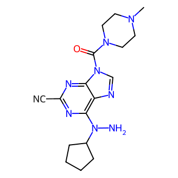 CN1CCN(C(=O)n2cnc3c(N(N)C4CCCC4)nc(C#N)nc32)CC1